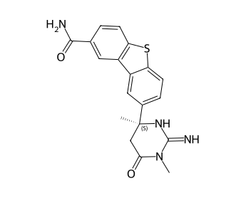 CN1C(=N)N[C@](C)(c2ccc3sc4ccc(C(N)=O)cc4c3c2)CC1=O